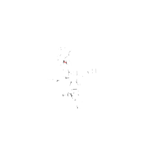 CCCOc1cc(OCCC)c([N+](=O)[O-])cc1C(=O)NC1CCN(C2C3CCCC2CCC3)C1.Cl